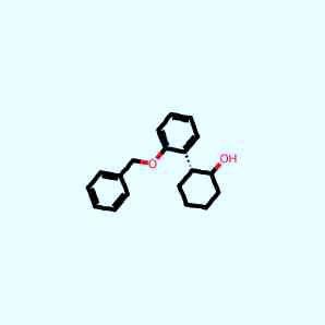 OC1CCCC[C@@H]1c1ccccc1OCc1ccccc1